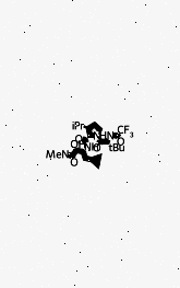 CNC(=O)C(O)C(CC1CC1)NC(=O)[C@@H]1[C@@H](C(C)C)CCN1C(=O)[C@@H](NC(=O)C(F)(F)F)C(C)(C)C